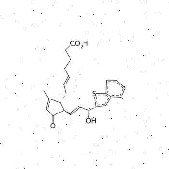 CC1=CC(=O)[C@H](C=CC(O)c2cc3ccccc3s2)[C@H]1CC=CCCCC(=O)O